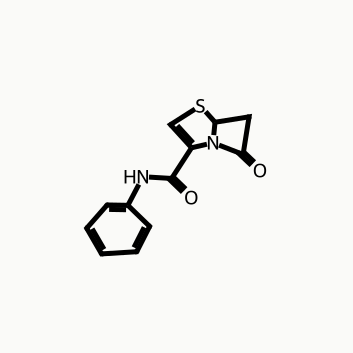 O=C(Nc1ccccc1)C1=CSC2CC(=O)N12